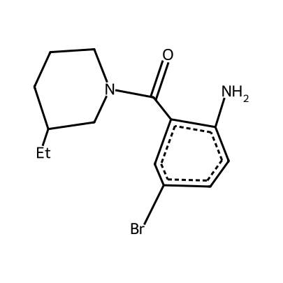 CCC1CCCN(C(=O)c2cc(Br)ccc2N)C1